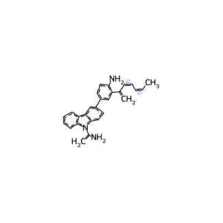 C=C(/C=C\C=C/C)c1cc(-c2ccc3c(c2)c2ccccc2n3C(=C)N)ccc1N